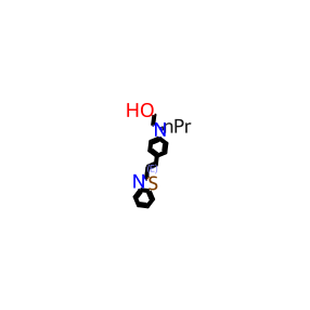 CCCN(CCO)c1ccc(/C=C/c2nc3ccccc3s2)cc1